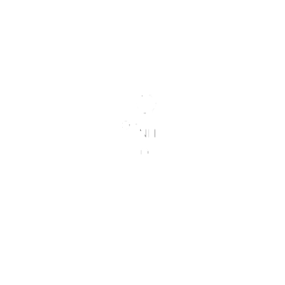 O=C(NCOCC1CCCCC1)c1ccccc1